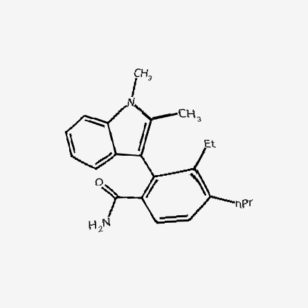 CCCc1ccc(C(N)=O)c(-c2c(C)n(C)c3ccccc23)c1CC